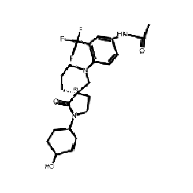 CC(=O)Nc1ccc(N2CCC[C@@]3(CCN(C4CCC(O)CC4)C3=O)C2)c(C(F)(F)F)c1